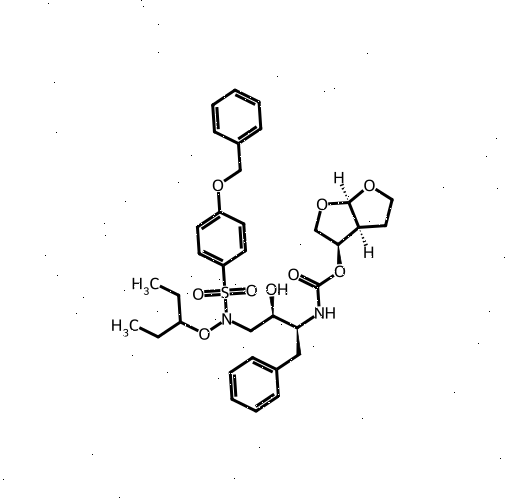 CCC(CC)ON(C[C@@H](O)[C@H](Cc1ccccc1)NC(=O)O[C@H]1CO[C@H]2OCC[C@H]21)S(=O)(=O)c1ccc(OCc2ccccc2)cc1